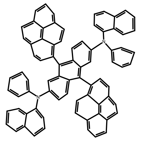 c1ccc(N(c2ccc3c(-c4ccc5ccc6cccc7ccc4c5c67)c4cc(N(c5ccccc5)c5cccc6ccccc56)ccc4c(-c4ccc5ccc6cccc7ccc4c5c67)c3c2)c2cccc3ccccc23)cc1